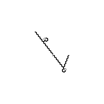 CCCCCCCCCC(CCCCCCCCCCSCCCCCCCCCCC(CCCCCCCCC)C1CCCCO1)C1CCCCO1